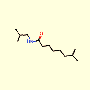 CC(C)CCCCCC(=O)NCC(C)C